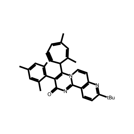 CC1=CC#CC(c2c(-c3c(C)cc(C)cc3C)c(=O)nc3c4ccc(C(C)(C)C)nc4ccn23)C(C)=C1